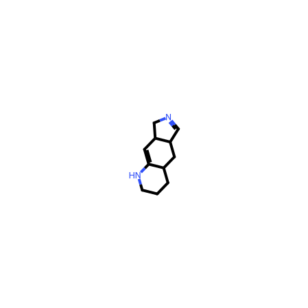 C1=NCC2C=C3NCCCC3CC12